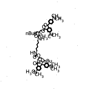 CCCCOCC(COC(=O)c1cc(N(C)C)ccc1C(=O)c1ccc(N(C)C)cc1)OC(=O)NCCCCCCNC(=O)OC(COCCCC)COC(=O)c1cc(N(C)C)ccc1C(=O)c1ccc(N(C)C)cc1